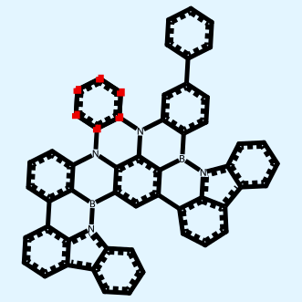 c1ccc(-c2ccc3c(c2)N(c2ccccc2)c2c4c(cc5c2N(c2ccccc2)c2cccc6c2B5n2c5ccccc5c5cccc-6c52)-c2cccc5c6ccccc6n(c25)B34)cc1